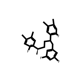 Cc1cc(F)c(C(CC[C@@H](C)c2cc(C)c(C)cc2F)Cc2cc(F)cc(F)c2)cc1C